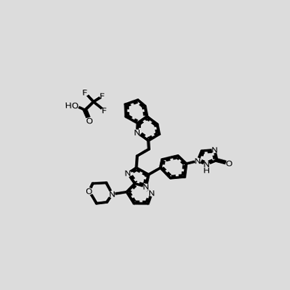 O=C(O)C(F)(F)F.O=c1ncn(-c2ccc(-c3c(CCc4ccc5ccccc5n4)nc4c(N5CCOCC5)ccnn34)cc2)[nH]1